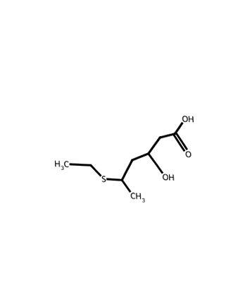 CCSC(C)CC(O)CC(=O)O